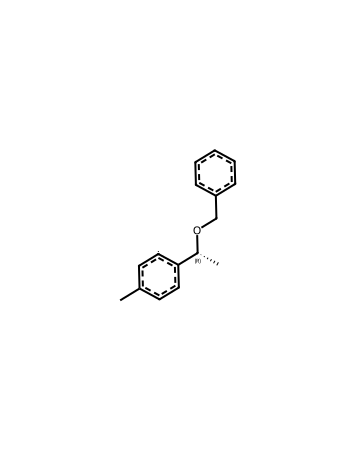 Cc1c[c]c([C@@H](C)OCc2ccccc2)cc1